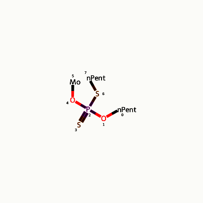 CCCCCOP(=S)([O][Mo])SCCCCC